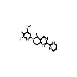 COc1cc(N2CCc3nc(-c4ncccn4)ncc3C2C)nc(F)c1I